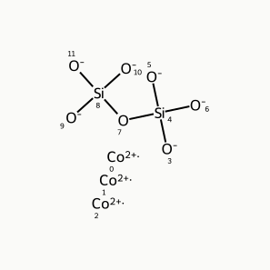 [Co+2].[Co+2].[Co+2].[O-][Si]([O-])([O-])O[Si]([O-])([O-])[O-]